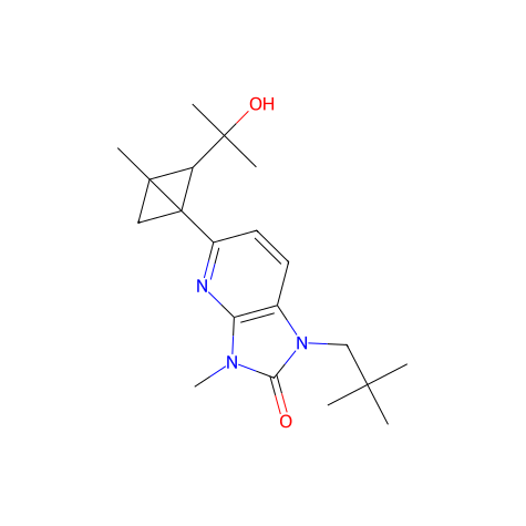 Cn1c(=O)n(CC(C)(C)C)c2ccc(C34CC3(C)C4C(C)(C)O)nc21